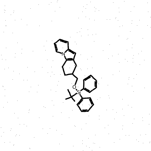 CC(C)(C)[Si](OCC1CCc2c(cc3ccccn23)C1)(c1ccccc1)c1ccccc1